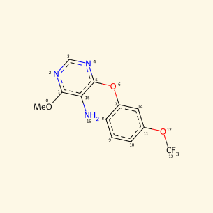 COc1ncnc(Oc2cccc(OC(F)(F)F)c2)c1N